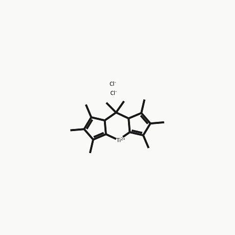 CC1=C(C)C2[C](=C1C)[Ti+2][C]1=C(C)C(C)=C(C)C1C2(C)C.[Cl-].[Cl-]